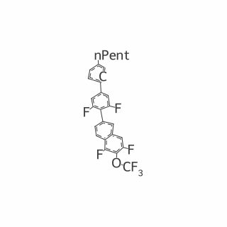 CCCCCc1ccc(-c2cc(F)c(-c3ccc4c(F)c(OC(F)(F)F)c(F)cc4c3)c(F)c2)cc1